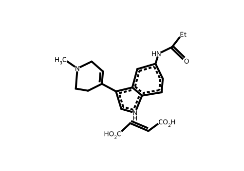 CCC(=O)Nc1ccc2[nH]cc(C3=CCN(C)CC3)c2c1.O=C(O)/C=C/C(=O)O